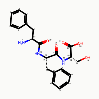 N[C@@H](Cc1ccccc1)C(=O)N[C@@H](Cc1ccccc1)C(=O)N[C@@H](CO)C(=O)O